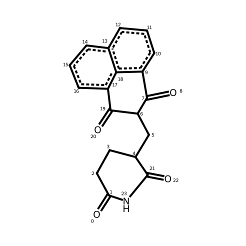 O=C1CCC(CC2C(=O)c3cccc4cccc(c34)C2=O)C(=O)N1